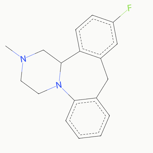 CN1CCN2c3ccccc3Cc3cc(F)ccc3C2C1